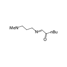 CCCCC(=O)C=NCCCNC